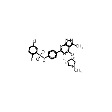 Cc1n[nH]c2nc(-c3ccc(NS(=O)(=O)c4cc(Cl)ccc4F)cc3)nc(O[C@@H]3CN(C)C[C@@H]3F)c12